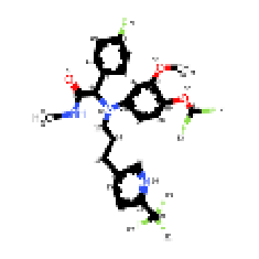 CNC(=O)C(c1ccc(F)cc1)N(CCCc1ccc(C(F)(F)F)nc1)c1ccc(OC(F)F)c(OC)c1